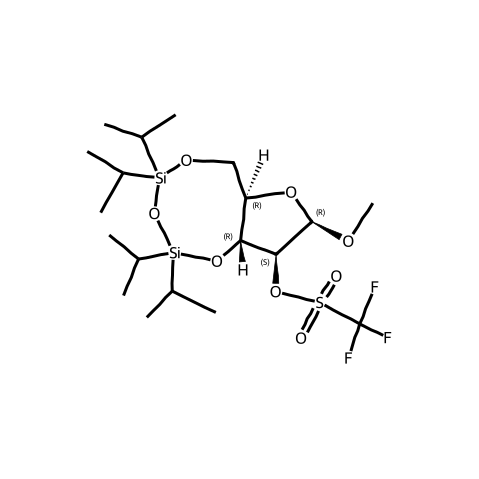 CO[C@@H]1O[C@@H]2CO[Si](C(C)C)(C(C)C)O[Si](C(C)C)(C(C)C)O[C@H]2[C@@H]1OS(=O)(=O)C(F)(F)F